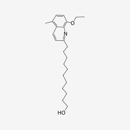 CCOc1ccc(C)c2ccc(CCCCCCCCCCCO)nc12